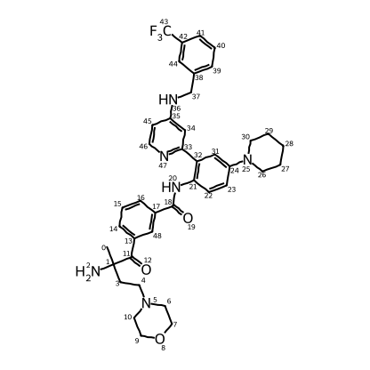 CC(N)(CCN1CCOCC1)C(=O)c1cccc(C(=O)Nc2ccc(N3CCCCC3)cc2-c2cc(NCc3cccc(C(F)(F)F)c3)ccn2)c1